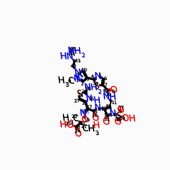 C[n+]1cc(-c2ncc(C(=O)NC[C@@H]3[C@H](NC(O)/C(=N\OC(C)(C)C(=O)O)c4csc(N)n4)C(=O)N3S(=O)(=O)O)s2)cn1CCNN